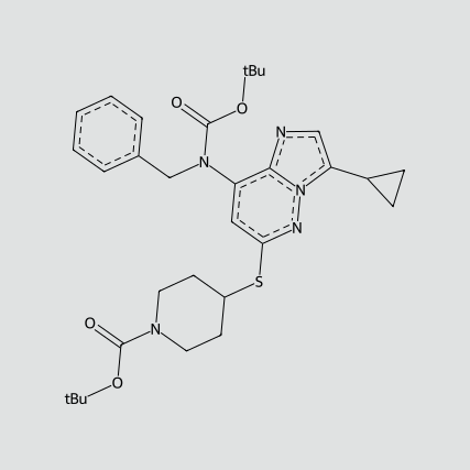 CC(C)(C)OC(=O)N1CCC(Sc2cc(N(Cc3ccccc3)C(=O)OC(C)(C)C)c3ncc(C4CC4)n3n2)CC1